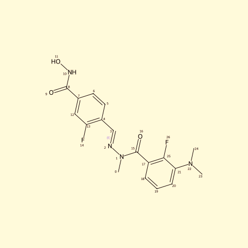 CN(/N=C/c1ccc(C(=O)NO)cc1F)C(=O)c1cccc(N(C)C)c1F